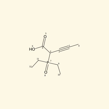 CC#CC(C(=O)O)P(=O)(CC)CC